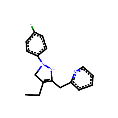 CCC1=C(Cc2ccccn2)NN(c2ccc(F)cc2)C1